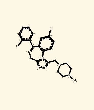 CN1CCN(Cc2nnc3n2-c2ccc(Cl)cc2C(c2ccccc2Cl)=NC3)CC1